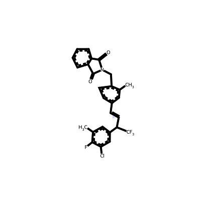 Cc1cc(/C=C/C(c2cc(C)c(F)c(Cl)c2)C(F)(F)F)ccc1CN1C(=O)c2ccccc2C1=O